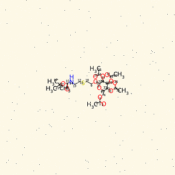 CC(=O)OC[C@H]1O[C@H](OCCSCCNC(=O)OC(C)(C)C)[C@@H](OC(C)=O)[C@@H](OC(C)=O)[C@@H]1OC(C)=O